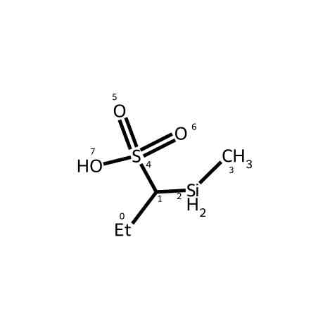 CCC([SiH2]C)S(=O)(=O)O